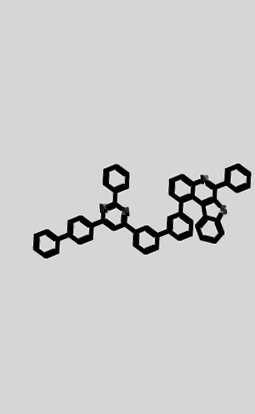 c1ccc(-c2ccc(-c3cc(-c4cccc(-c5cccc(-c6cccc7nc(-c8ccccc8)c8sc9ccccc9c8c67)c5)c4)nc(-c4ccccc4)n3)cc2)cc1